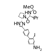 COC(=O)N[C@H](C(=O)N1CCC[C@H]1c1nc(-c2ccc(-c3ccc(N)cc3I)cc2)c[nH]1)C(C)C